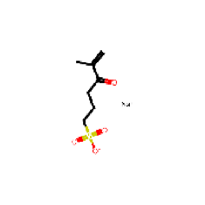 C=C(C)C(=O)CCCS(=O)(=O)[O-].[Na+]